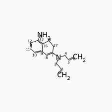 C=CCN(CC=C)C1=Cc2cccc(N)c2CC1